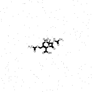 CC(=O)N[C@@H]1C(=O)N2C(C(=O)O)=C(COC(C)=O)CS(=O)(=O)[C@H]12